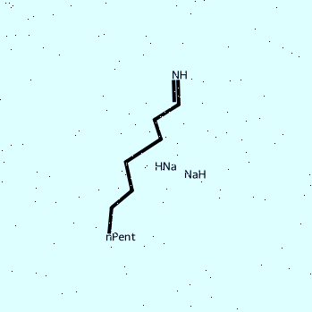 CCCCCCCCCCC=N.[NaH].[NaH]